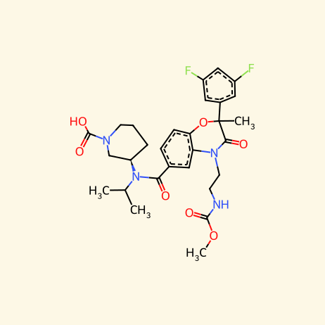 COC(=O)NCCN1C(=O)C(C)(c2cc(F)cc(F)c2)Oc2ccc(C(=O)N(C(C)C)[C@@H]3CCCN(C(=O)O)C3)cc21